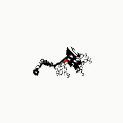 COC(=O)C1=C(C)NC(C)=C(C(=O)OC)C1c1cc(SC)ccc1OCCCCNCC(O)COc1ccccc1.Cl